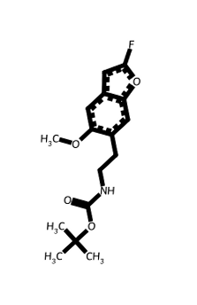 COc1cc2cc(F)oc2cc1CCNC(=O)OC(C)(C)C